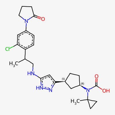 CC(CNc1cc([C@H]2CC[C@@H](N(C(=O)O)C3(C)CC3)C2)n[nH]1)c1ccc(N2CCCC2=O)cc1Cl